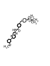 COc1cccc(-c2ccc3nc(NC(=O)c4ccc(CN5CCN(C(=O)OC(C)(C)C)CC5)cc4)cn3n2)c1